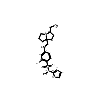 O=S(=O)(c1ccc(NCC23CCCN2C(CO)CC3)cc1F)N(Cl)c1nccs1